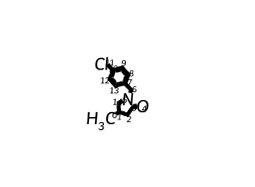 CC1CC(=O)N(Cc2ccc(Cl)cc2)C1